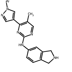 Cc1cnc(Nc2ccc3c(c2)CNC3)nc1-c1cnn(C(C)C)c1